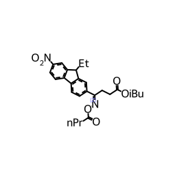 CCCC(=O)O/N=C(/CCC(=O)OCC(C)C)c1ccc2c(c1)C(CC)c1cc([N+](=O)[O-])ccc1-2